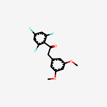 COc1cc(CC(=O)c2c(F)cc(F)cc2F)cc(OC)c1